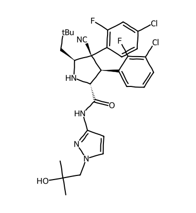 CC(C)(C)C[C@@H]1N[C@@H](C(=O)Nc2ccn(CC(C)(C)O)n2)[C@H](c2cccc(Cl)c2F)[C@@]1(C#N)c1ccc(Cl)cc1F